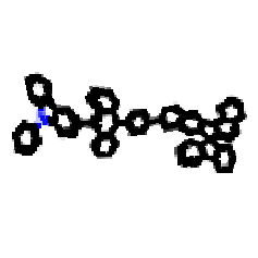 c1ccc(-n2c3ccccc3c3cc(-c4c5ccccc5c(-c5ccc(-c6ccc7cc8c(cc7c6)C6(c7ccccc7-c7ccccc76)c6ccc7ccccc7c6-8)cc5)c5ccccc45)ccc32)cc1